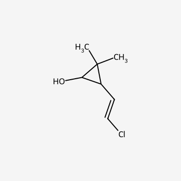 CC1(C)C(O)C1C=CCl